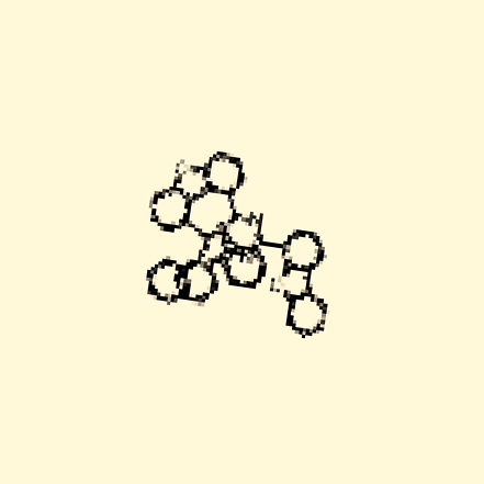 c1ccc(-c2nc(-c3cccc4c3oc3ccccc34)nc(-c3cccc4oc5cccc(-c6nc7ccccc7n6-c6ccccc6)c5c34)n2)cc1